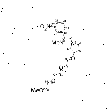 CNC(CN1CCC(OCCOCCOCCOC)C1)c1cccc([N+](=O)[O-])c1